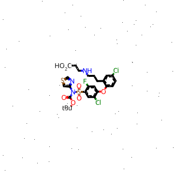 CC(C)(C)OC(=O)N(c1cscn1)S(=O)(=O)c1cc(Cl)c(Oc2ccc(Cl)cc2CCCNCCC(=O)O)cc1F